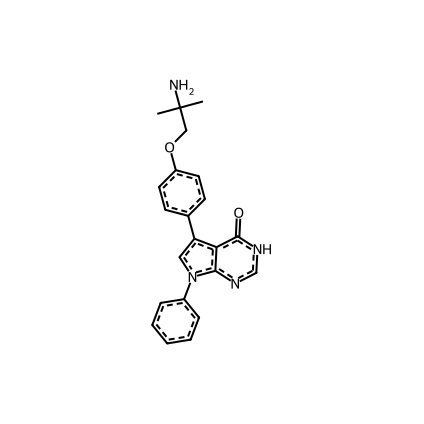 CC(C)(N)COc1ccc(-c2cn(-c3ccccc3)c3nc[nH]c(=O)c23)cc1